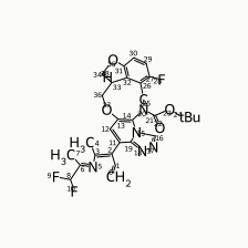 C=C/C(=C(C)\N=C(/C)C(F)F)c1cc2c(n3cnnc13)N(C(=O)OC(C)(C)C)Cc1c(F)ccc3c1[C@H](CO3)CO2